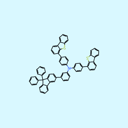 c1ccc(C2(c3ccccc3)c3ccccc3-c3cc(-c4cccc(N(c5ccc(-c6cccc7c6sc6ccccc67)cc5)c5ccc(-c6cccc7c6sc6ccccc67)cc5)c4)ccc32)cc1